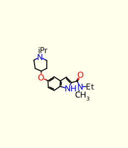 CCN(C)C(=O)c1cc2cc(OC3CCN(C(C)C)CC3)ccc2[nH]1